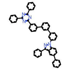 c1ccc(-c2ccc3c(c2)c(-c2ccccc2)nn3-c2cccc(-c3cccc(-c4cccc(-c5nc(-c6ccccc6)nc(-c6ccccc6)n5)c4)c3)c2)cc1